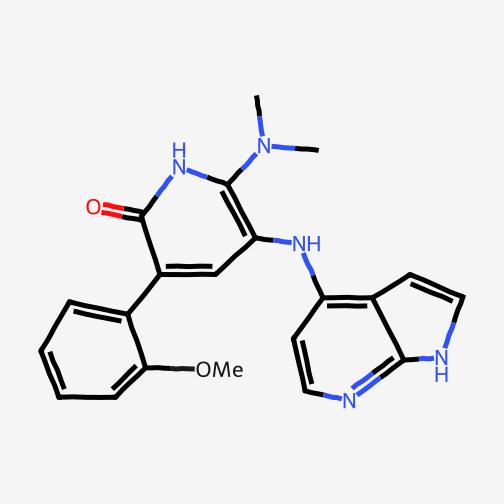 COc1ccccc1-c1cc(Nc2ccnc3[nH]ccc23)c(N(C)C)[nH]c1=O